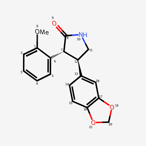 COc1ccccc1[C@@H]1C(=O)NC[C@H]1c1ccc2c(c1)OCO2